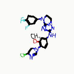 COc1cc(Nc2nc3n(n2)CCN3c2ccc(F)c(F)c2)ccc1-n1cnc(Cl)c1